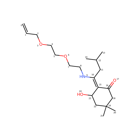 C=CCOCCOCCN/C(CC(C)C)=C1/C(=O)CC(C)(C)CC1O